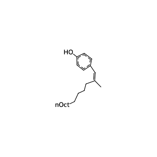 CCCCCCCCCCCCC(C)=Cc1ccc(O)cc1